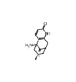 C=C1C2Cc3[nH]c(=O)ccc3C1(N)C[C@H](C)C2